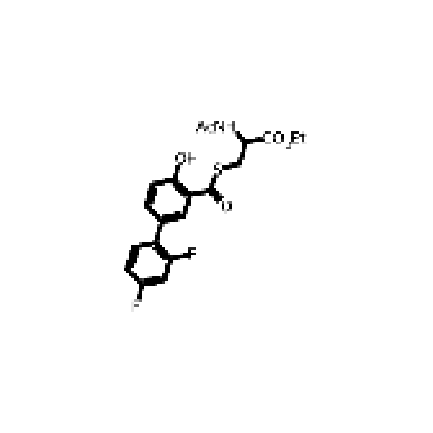 CCOC(=O)C(CSC(=O)c1cc(-c2ccc(F)cc2F)ccc1O)NC(C)=O